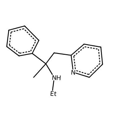 CCNC(C)(Cc1ccccn1)c1ccccc1